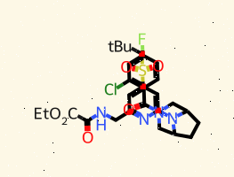 CCOC(=O)C(=O)NCc1cc(S(=O)(=O)CC(C)(C)C)cc(N2C3CCC2CN(C(=O)c2ccc(F)cc2Cl)C3)n1